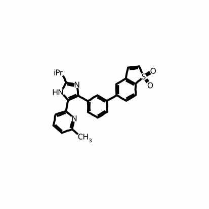 Cc1cccc(-c2[nH]c(C(C)C)nc2-c2cccc(-c3ccc4c(c3)C=CS4(=O)=O)c2)n1